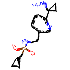 NC1(c2ccc(CNS(=O)(=O)C3CC3)cn2)CC1